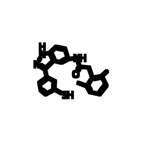 Cc1cccc(C)c1CC(=O)Nc1ccc2[nH]nc(-c3cccc(S)c3)c2c1